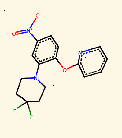 O=[N+]([O-])c1ccc(Oc2ccccn2)c(N2CCC(F)(F)CC2)c1